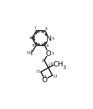 CC1(COc2ncccc2I)COC1